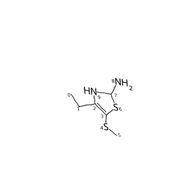 CCC1=C(SC)SC(N)N1